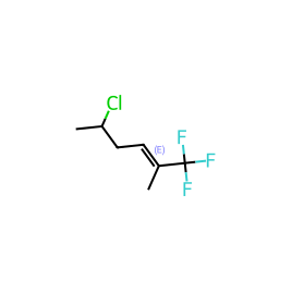 C/C(=C\CC(C)Cl)C(F)(F)F